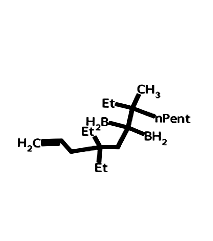 BC(B)(CC(CC)(CC)CC=C)C(C)(CC)CCCCC